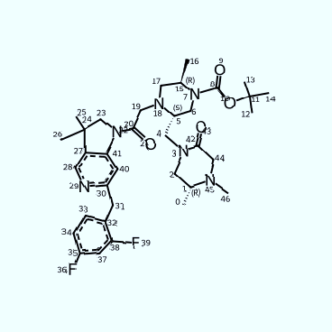 C[C@@H]1CN(C[C@H]2CN(C(=O)OC(C)(C)C)[C@H](C)CN2CC(=O)N2CC(C)(C)c3cnc(Cc4ccc(F)cc4F)cc32)C(=O)CN1C